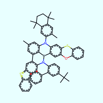 Cc1cc2c3c(c1)N(c1cc4c(cc1C)C(C)(C)CCC4(C)C)c1cc4c(cc1B3N(c1ccc(C(C)(C)C)cc1-c1ccccc1)c1cc3c(cc1-2)sc1ccccc13)Oc1ccccc1S4